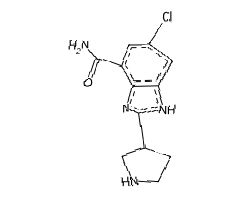 NC(=O)c1cc(Cl)cc2[nH]c(C3CCNC3)nc12